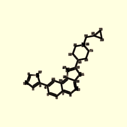 c1ncc(-c2ccc3cnc4sc(C5CCN(CC6CC6)CC5)nc4c3c2)s1